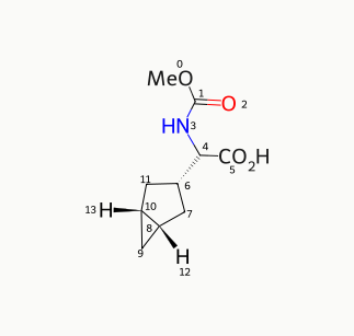 COC(=O)NC(C(=O)O)[C@@H]1C[C@@H]2C[C@@H]2C1